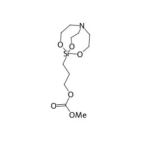 COC(=O)OCCC[Si]12OCCN(CCO1)CCO2